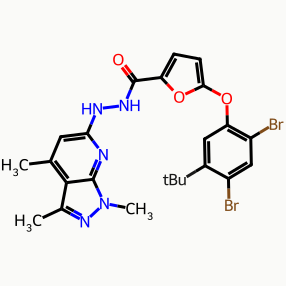 Cc1cc(NNC(=O)c2ccc(Oc3cc(C(C)(C)C)c(Br)cc3Br)o2)nc2c1c(C)nn2C